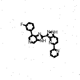 Fc1cccc(-c2cncc3[nH]c(-c4n[nH]c5ccc(-c6ccccn6)nc45)nc23)c1